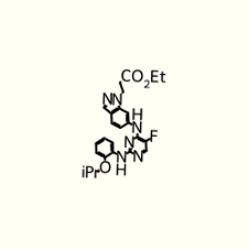 CCOC(=O)CCn1ncc2ccc(Nc3nc(Nc4ccccc4OC(C)C)ncc3F)cc21